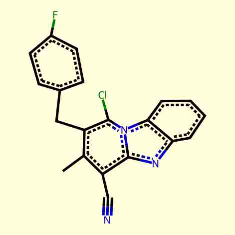 Cc1c(Cc2ccc(F)cc2)c(Cl)n2c(nc3ccccc32)c1C#N